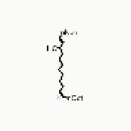 CCCCCCCC/C=C\CCCCCCCC(O)C=CCCCCCCCCC